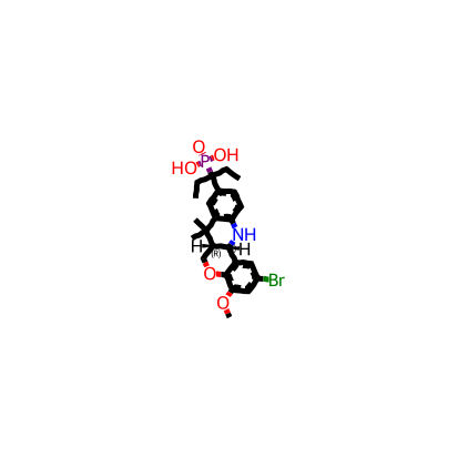 CCC(CC)(c1ccc2c(c1)C(C)(C)[C@H]1COc3c(OC)cc(Br)cc3[C@H]1N2)P(=O)(O)O